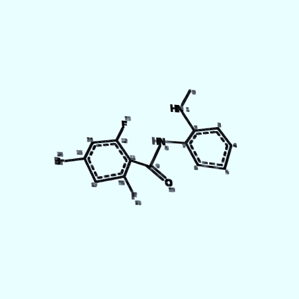 CNc1ccccc1NC(=O)c1c(F)cc(Br)cc1F